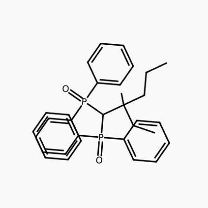 CCCC(C)(CC)C(P(=O)(c1ccccc1)c1ccccc1)P(=O)(c1ccccc1)c1ccccc1